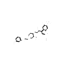 COc1ccc2nccc([C@@H](F)CC[C@@H]3CCN(CCSc4cccc(F)c4)C[C@@H]3CC(=O)O)c2c1